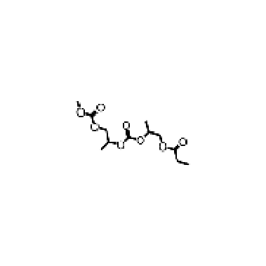 CCC(=O)OCC(C)OC(=O)OC(C)COC(=O)OC